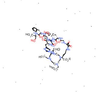 C[C@H](NC(=O)[C@H](CC(=O)O)NC(=O)CNc1c(NCCCC(C(=O)O)N2CCN(CC=O)CCN(CC(=O)O)CCN(CC(=O)O)CC2)c(=O)c1=O)C(=O)N[C@@H](Cc1c[nH]cn1)C(=O)N[C@@H](CO)C(=O)N[C@@H](Cc1ccccc1)C(=O)N[C@@H](CO)C(=O)O